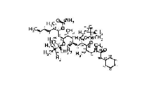 C=CC=C[C@H](C)[C@H](OC(N)=O)[C@@H](C)[C@H](O[Si](C)(C)C(C)(C)C)[C@@H](C)CC(C)=C[C@H](C)[C@@H](O[Si](C)(C)C(C)(C)C)[C@@H](C)CN(C)C(=O)CC1CCCCC1